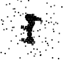 Cc1cc(C[C@@H]2COc3c(cc(Cn4ccnc4C)cc3-c3cn(C)nc3C(F)(F)F)C2=O)nc(N2CCN(C(=O)OC(C)(C)C)CC2)n1